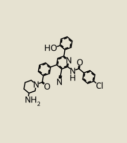 N#Cc1c(-c2cccc(C(=O)N3CCCC(N)C3)c2)cc(-c2ccccc2O)nc1NC(=O)c1ccc(Cl)cc1